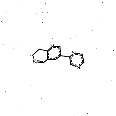 C1=NCCc2ncc(-c3cnccn3)cc21